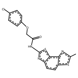 Cc1nc2c(ccc3nc(NC(=O)COc4ccc(Cl)cc4)sc32)s1